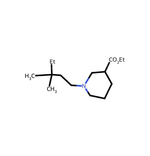 CCOC(=O)C1CCCN(CCC(C)(C)CC)C1